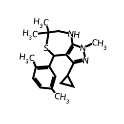 Cc1ccc(C)c(C2SC(C)(C)CNc3c2c(C2CC2)nn3C)c1